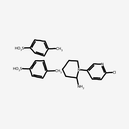 Cc1ccc(S(=O)(=O)O)cc1.Cc1ccc(S(=O)(=O)O)cc1.NC1CCCCN1c1ccc(Cl)nc1